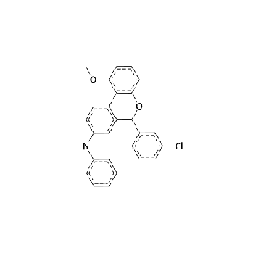 COc1cccc2c1-c1ccc(N(C)c3ccccc3)cc1C(c1cccc(Cl)c1)O2